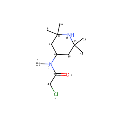 CCN(C(=O)CCl)C1CC(C)(C)NC(C)(C)C1